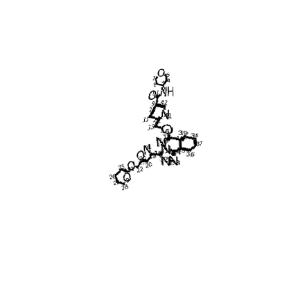 O=C(NC1CCOCC1)c1ccc(COc2nn3c(-c4cc(COC5CCCCO5)on4)nnc3c3ccccc23)nc1